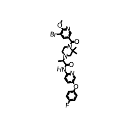 COc1ncc(C(=O)N2CCN(C(C)C(=O)Nc3ccc(Oc4ccc(F)cc4)cn3)CC2(C)C)cc1Br